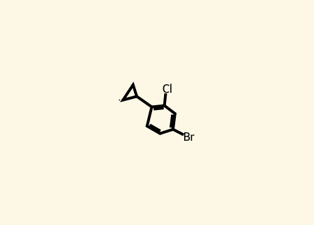 Clc1cc(Br)ccc1C1[CH]C1